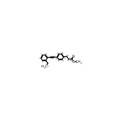 CCc1ccccc1C#Cc1ccc(CCC(=O)OC)cc1